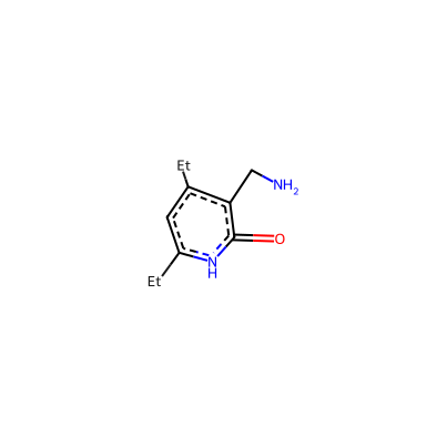 CCc1cc(CC)c(CN)c(=O)[nH]1